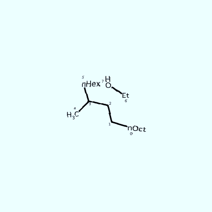 CCCCCCCCCCC(C)CCCCCC.CCO